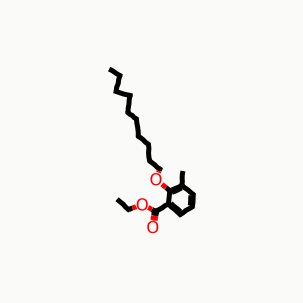 CCCCCCCCCCOc1c(C)cccc1C(=O)OCC